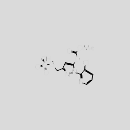 COC(=O)Oc1cc(COS(C)(=O)=O)nn1-c1ncccc1Cl